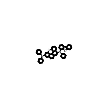 c1ccc(N(c2ccccc2)c2cc3c4c(ccc5cc(N(c6ccccc6)c6cccc7c6oc6ccccc67)c6cccc(c6c54)O3)c2)cc1